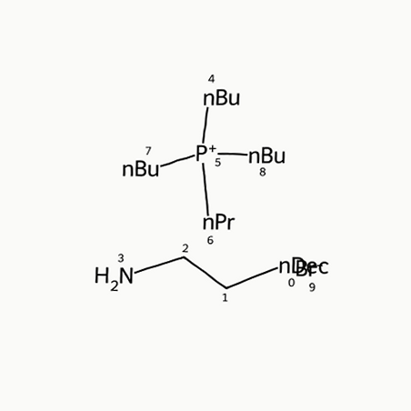 CCCCCCCCCCCCN.CCCC[P+](CCC)(CCCC)CCCC.[Br-]